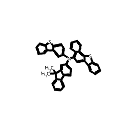 CC1(C)c2ccccc2-c2ccc(N(c3ccc4sc5ccccc5c4c3)c3cc4c5ccccc5sc4c4ccccc34)cc21